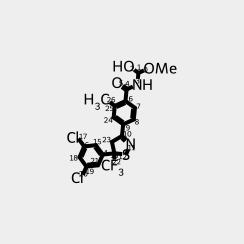 COC(O)NC(=O)c1ccc(C2=NSC(c3cc(Cl)cc(Cl)c3)(C(F)(F)F)C2)cc1C